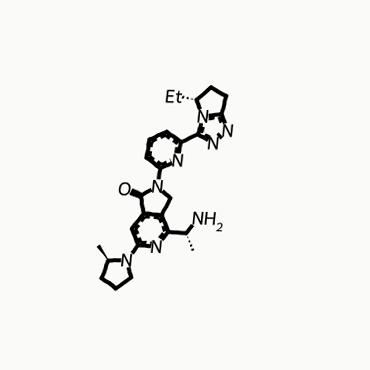 CC[C@@H]1CCc2nnc(-c3cccc(N4Cc5c(cc(N6CCC[C@H]6C)nc5[C@@H](C)N)C4=O)n3)n21